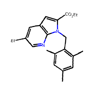 CCOC(=O)c1cc2cc(CC)cnc2n1Cc1c(C)cc(C)cc1C